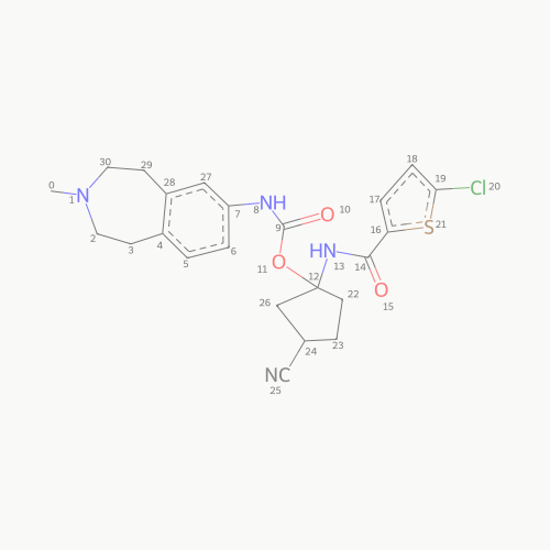 CN1CCc2ccc(NC(=O)OC3(NC(=O)c4ccc(Cl)s4)CCC(C#N)C3)cc2CC1